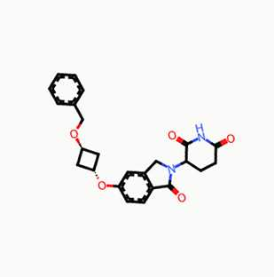 O=C1CCC(N2Cc3cc(O[C@H]4C[C@H](OCc5ccccc5)C4)ccc3C2=O)C(=O)N1